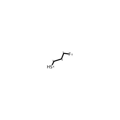 FCCCS